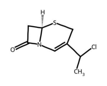 CC(Cl)C1=CN2C(=O)C[C@H]2SC1